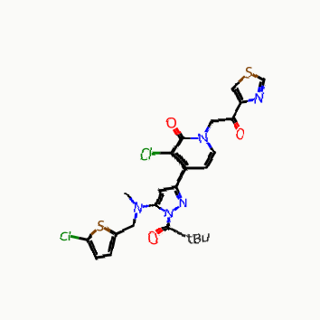 CN(Cc1ccc(Cl)s1)c1cc(-c2ccn(CC(=O)c3cscn3)c(=O)c2Cl)nn1C(=O)C(C)(C)C